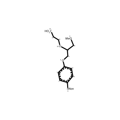 CCCCCCCCCc1ccc(OCC(COC)OCCC(=O)O)cc1